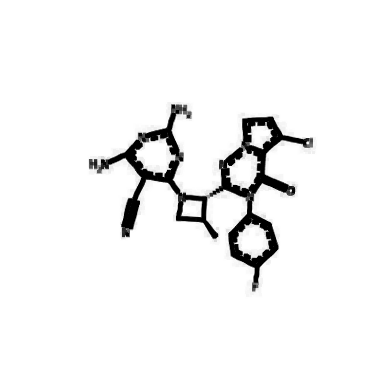 C[C@H]1CN(c2nc(N)nc(N)c2C#N)[C@@H]1c1nn2ccc(Cl)c2c(=O)n1-c1ccc(F)cc1